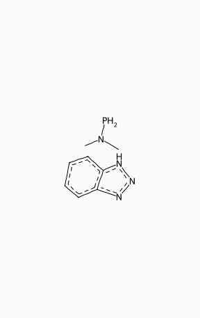 CN(C)P.c1ccc2[nH]nnc2c1